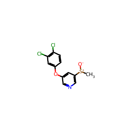 C[S+]([O-])c1cncc(Oc2ccc(Cl)c(Cl)c2)c1